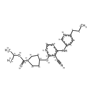 CCCc1ccc(Nc2ncnc(OC3CCN(C(=O)OC(C)C)CC3)c2C#N)cn1